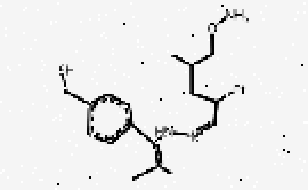 CCC(/C=N\NC(=C(C)C)c1ccc(CS)cc1)CC(C)CON